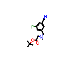 CN(CC(=O)OC(C)(C)C)Cc1cc(F)cc(C#N)c1